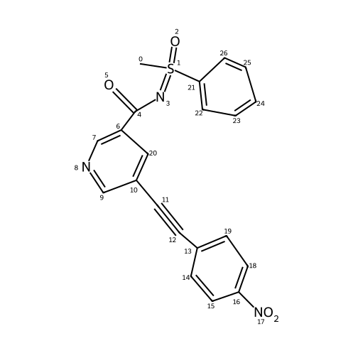 CS(=O)(=NC(=O)c1cncc(C#Cc2ccc([N+](=O)[O-])cc2)c1)c1ccccc1